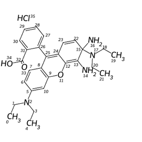 CCN(CC)c1ccc2c(c1)OC1=C(N)C(N)(N(CC)CC)C=CC1=C2c1ccccc1C(=O)O.Cl